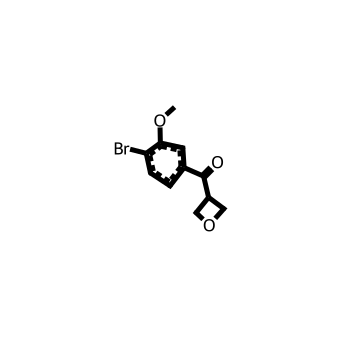 COc1cc(C(=O)C2COC2)ccc1Br